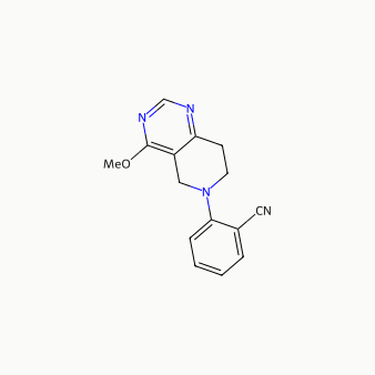 COc1ncnc2c1CN(c1ccccc1C#N)CC2